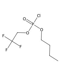 CCCCOP(=O)(Cl)OCC(F)(F)F